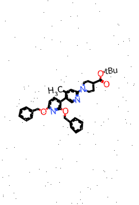 Cc1cc(N2CCC(C(=O)OC(C)(C)C)CC2)ncc1-c1ccc(OCc2ccccc2)nc1OCc1ccccc1